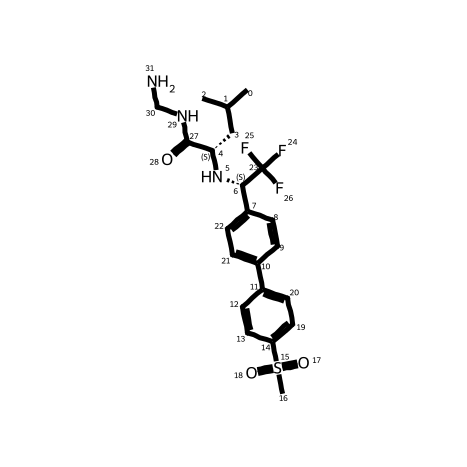 CC(C)C[C@H](N[C@@H](c1ccc(-c2ccc(S(C)(=O)=O)cc2)cc1)C(F)(F)F)C(=O)NCN